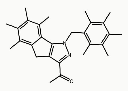 CC(=O)c1nn(Cc2c(C)c(C)c(C)c(C)c2C)c2c1Cc1c(C)c(C)c(C)c(C)c1-2